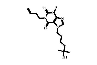 C=CCCn1c(=O)c2c(ncn2CCCCC(C)(C)O)n(CC)c1=O